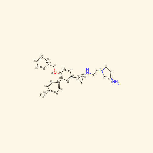 N[C@@H]1CCN(CCN[C@@H]2C[C@H]2c2ccc(OCc3ccccc3)c(-c3ccc(C(F)(F)F)cc3)c2)C1